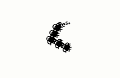 O=S(=O)([O-])C(F)(F)F.O=S(=O)([O-])C(F)(F)F.O=S(=O)([O-])C(F)(F)F.O=S(=O)([O-])C(F)(F)F.O=S(=O)([O-])C(F)(F)F.[Re+5]